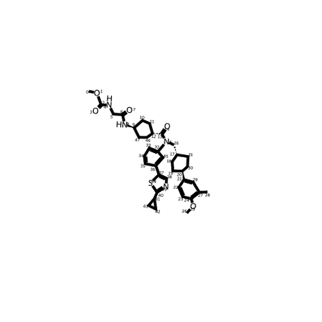 COC(=O)NCC(=O)N[C@H]1CC[C@H](C(=O)N(C[C@H]2CC[C@H](c3ccc(OC)c(C)c3)CC2)c2cccc(-c3cnc(C4CC4)s3)c2)CC1